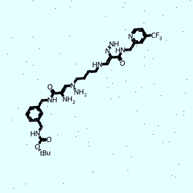 CC(C)(C)OC(=O)NCc1cccc(CNC(=O)/C(N)=C/N(N)CCCCN/C=C(\N=N)C(=O)NCc2cc(C(F)(F)F)ccn2)c1